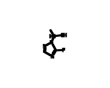 C[SH](S)n1ncnc1F